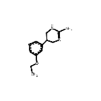 CCOc1cccc(C2CN=C(N)NC2)c1